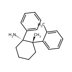 Cc1ccccc1[C@]1(C)CCCC[C@@]1(N)c1ccccc1